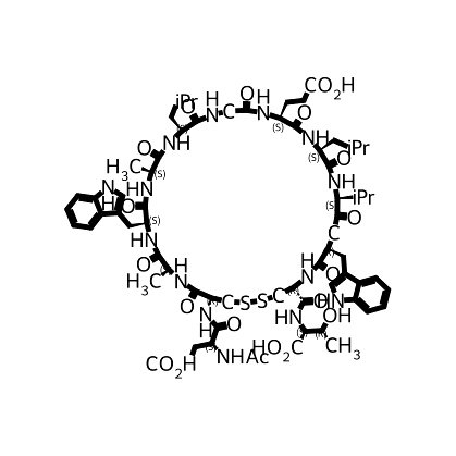 CC(=O)N[C@@H](CC(=O)O)C(=O)N[C@H]1CSSC[C@@H](C(=O)N[C@H](C(=O)O)[C@@H](C)O)NC(=O)[C@H](Cc2c[nH]c3ccccc23)CC(=O)[C@H](C(C)C)NC(=O)[C@H](CC(C)C)NC(=O)[C@H](CCC(=O)O)NC(=O)CNC(=O)[C@H](CC(C)C)NC(=O)[C@H](C)NC(=O)[C@H](Cc2c[nH]c3ccccc23)NC(=O)[C@H](C)NC1=O